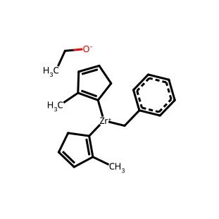 CC1=[C]([Zr+]([CH2]c2ccccc2)[C]2=C(C)C=CC2)CC=C1.CC[O-]